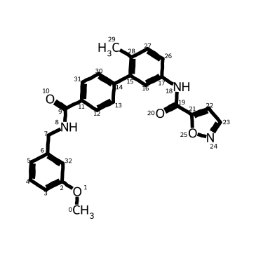 COc1cccc(CNC(=O)c2ccc(-c3cc(NC(=O)c4ccno4)ccc3C)cc2)c1